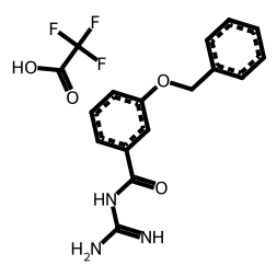 N=C(N)NC(=O)c1cccc(OCc2ccccc2)c1.O=C(O)C(F)(F)F